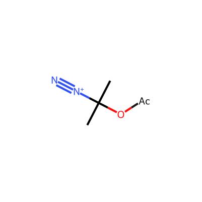 CC(=O)OC(C)(C)[N+]#N